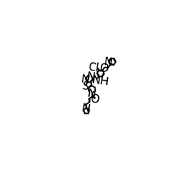 O=C(C=CCN1CCCC1)N1CCc2c(sc3ncnc(Nc4ccc(OCc5ccccn5)c(Cl)c4)c23)C1